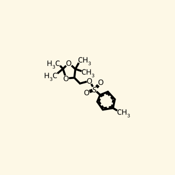 Cc1ccc(S(=O)(=O)OCC2OC(C)(C)OC2(C)C)cc1